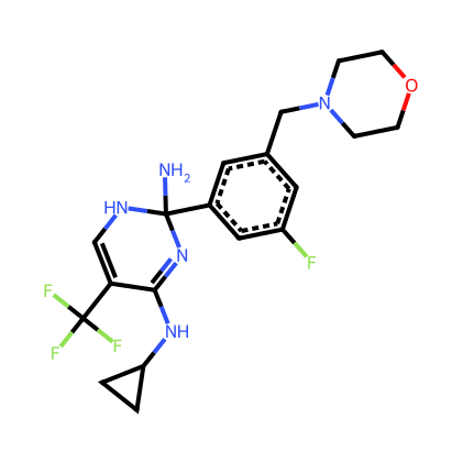 NC1(c2cc(F)cc(CN3CCOCC3)c2)N=C(NC2CC2)C(C(F)(F)F)=CN1